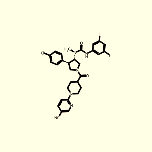 CN(C(=O)Nc1cc(F)cc(F)c1)[C@@H]1CN(C(=O)C2CCN(c3ccc(C#N)cn3)CC2)C[C@H]1c1ccc(Cl)cc1